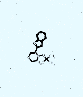 CC(C)(C)ON1CCOC=C1c1cc2ccccc2o1